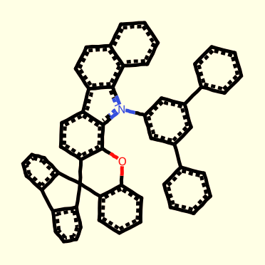 c1ccc(-c2cc(-c3ccccc3)cc(-n3c4c5c(ccc4c4ccc6ccccc6c43)C3(c4ccccc4O5)c4ccccc4-c4ccccc43)c2)cc1